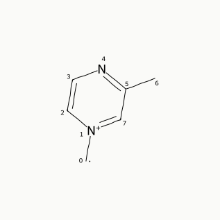 [CH2][n+]1ccnc(C)c1